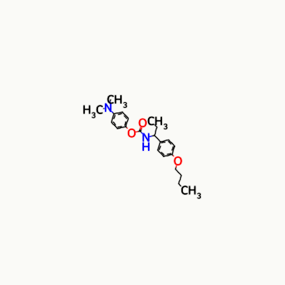 CCCCOc1ccc(C(CC)NC(=O)Oc2ccc(N(C)C)cc2)cc1